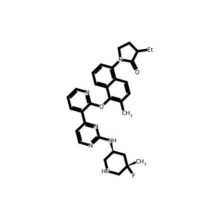 CCC1CCN(c2cccc3c(Oc4ncccc4-c4ccnc(N[C@@H]5CNC[C@@](C)(F)C5)n4)c(C)ccc23)C1=O